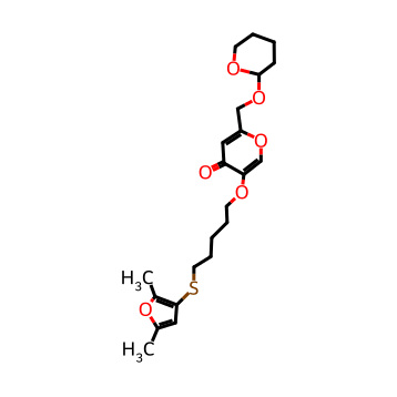 Cc1cc(SCCCCCOc2coc(COC3CCCCO3)cc2=O)c(C)o1